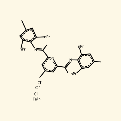 CCCc1cc(C)cc(CCC)c1N=C(C)c1cc(C)cc(C(C)=Nc2c(CCC)cc(C)cc2CCC)n1.[Cl-].[Cl-].[Cl-].[Fe+3]